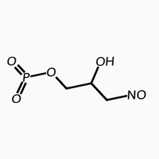 O=NCC(O)COP(=O)=O